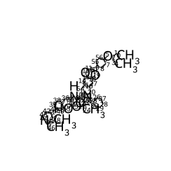 CCC(CC)Oc1ccc([C@H]2COc3cc4c(cc3O2)CN([C@@H](CC)c2ccccc2)[C@H](C(=O)N[C@@H](Cc2ccc(-c3ccnc(C)c3C)cc2)C(=O)O)C4)cc1